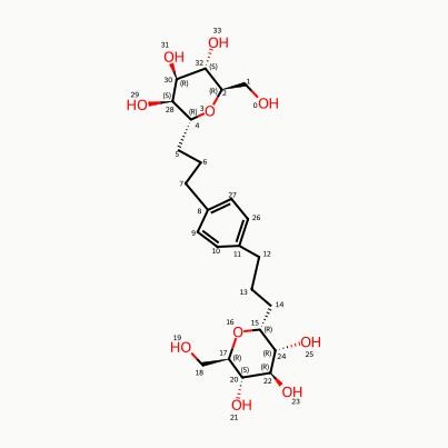 OC[C@H]1O[C@H](CCCc2ccc(CCC[C@H]3O[C@H](CO)[C@@H](O)[C@H](O)[C@H]3O)cc2)[C@@H](O)[C@@H](O)[C@@H]1O